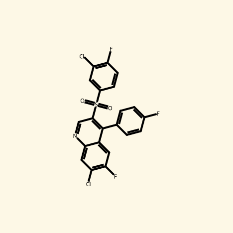 O=S(=O)(c1ccc(F)c(Cl)c1)c1cnc2cc(Cl)c(F)cc2c1-c1ccc(F)cc1